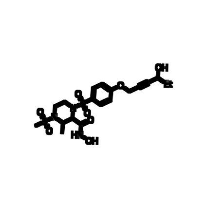 CCC(O)C#CCOc1ccc(S(=O)(=O)N2CCN(S(C)(=O)=O)C(C)C2C(=O)NO)cc1